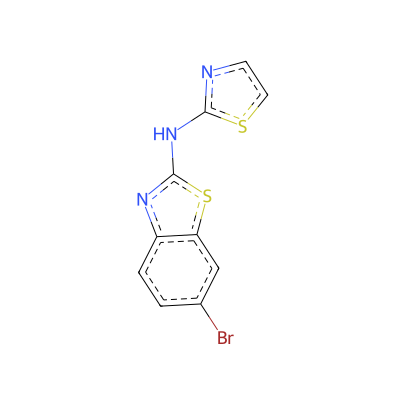 Brc1ccc2nc(Nc3nccs3)sc2c1